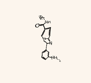 CC(C)NC(=O)c1ccc2nc(-c3cccc(N)c3)cn2c1